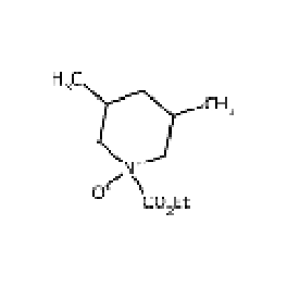 CCOC(=O)[N+]1([O-])CC(C)CC(C)C1